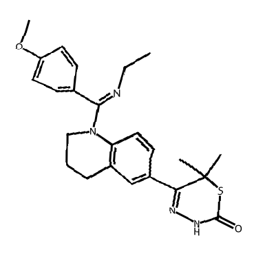 CCN=C(c1ccc(OC)cc1)N1CCCc2cc(C3=NNC(=O)SC3(C)C)ccc21